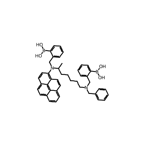 CC(CCCCCN(Cc1ccccc1)Cc1ccccc1B(O)O)N(Cc1ccccc1B(O)O)c1ccc2ccc3cccc4ccc1c2c34